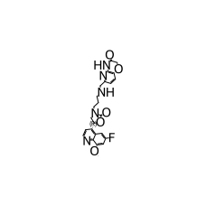 COc1cc(F)cc2c([C@@H]3CN(CCCNCc4ccc5c(n4)NC(=O)CO5)C(=O)O3)ccnc12